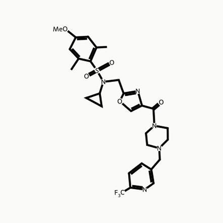 COc1cc(C)c(S(=O)(=O)N(Cc2nc(C(=O)N3CCN(Cc4ccc(C(F)(F)F)nc4)CC3)co2)C2CC2)c(C)c1